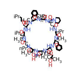 CCCN1CC(=O)N(C)[C@@H](CC(C)C)C(=O)N[C@@H](COCCC(C)C)C(=O)N(C)[C@@H](Cc2ccccc2)C(=O)N(C)[C@@H](C(C)C)C(=O)N[C@H](C(=O)N2CCCCC2)CC(=O)N[C@H](C(C)C)C(=O)N(C)[C@@H](Cc2ccccc2)C(=O)N[C@@H](COCC(C)(C)O)C(=O)N(C)[C@@H](CC(C)C)C(=O)N[C@@H]([C@@H](C)O)C1=O